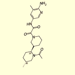 CC(=O)N1C[C@H](C)CC[C@H]1C1CCCN(C(=O)C(=O)Nc2cnc(N)c(C)c2)C1